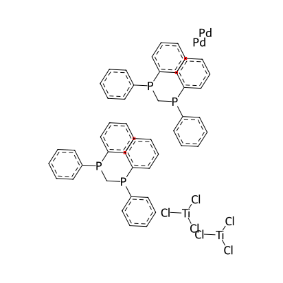 [Cl][Ti]([Cl])[Cl].[Cl][Ti]([Cl])[Cl].[Pd].[Pd].c1ccc(P(CP(c2ccccc2)c2ccccc2)c2ccccc2)cc1.c1ccc(P(CP(c2ccccc2)c2ccccc2)c2ccccc2)cc1